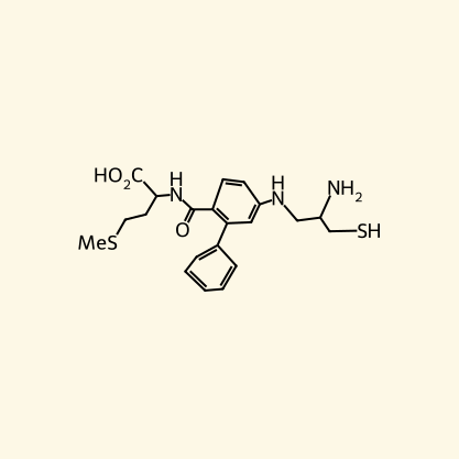 CSCCC(NC(=O)c1ccc(NCC(N)CS)cc1-c1ccccc1)C(=O)O